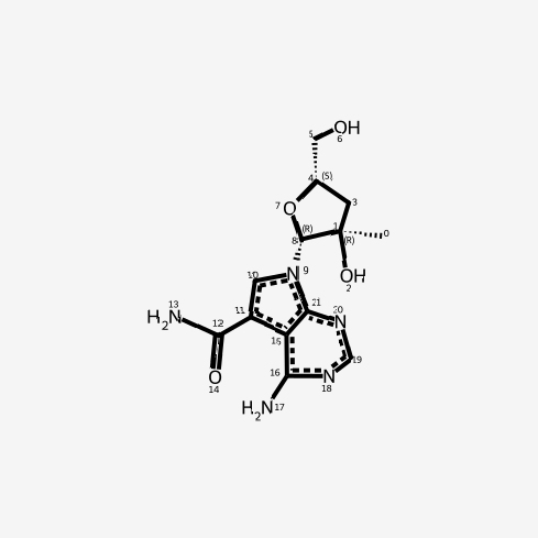 C[C@@]1(O)C[C@@H](CO)O[C@H]1n1cc(C(N)=O)c2c(N)ncnc21